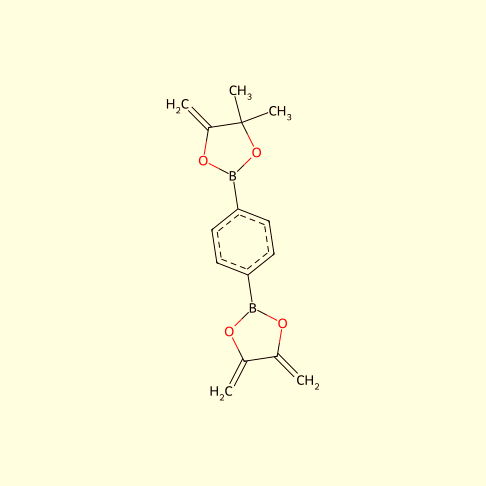 C=C1OB(c2ccc(B3OC(=C)C(C)(C)O3)cc2)OC1=C